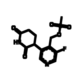 CS(=O)(=O)OCc1c(F)cncc1C1CCC(=O)NC1=O